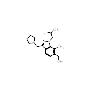 Cc1c(CO)ccc2c(CN3CCCC3)nn(CC(C)C)c12